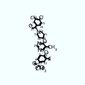 Cc1c(Oc2ccc(S(C)(=O)=O)cc2F)ncnc1OC1CCN(C(C=O)c2ccc(Cl)c(Cl)c2)CC1